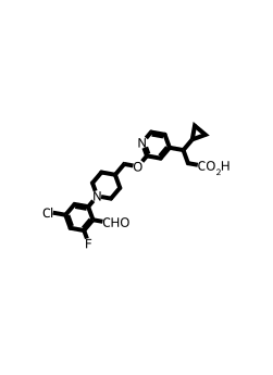 O=Cc1c(F)cc(Cl)cc1N1CCC(COc2cc(C(CC(=O)O)C3CC3)ccn2)CC1